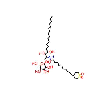 CCCCCCCCCCCCCC[C@@H](O)[C@@H](O)[C@H](COC1OC(CO)C(O)C(O)C1O)NC(=O)CCCCCCCCCCC1CCS(=O)(=O)CC1